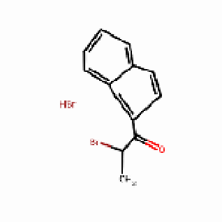 Br.CC(Br)C(=O)c1ccc2ccccc2c1